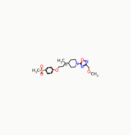 COCc1noc(N2CCC([C@H](C)CCOc3ccc(S(C)(=O)=O)cc3)CC2)n1